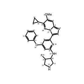 COc1cc2ncc(-c3cc(Oc4ccccc4)cc(NC4CNCC4F)n3)n2nc1C1CC1